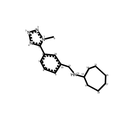 Cn1nnnc1-c1cccc(CNC2CCCCCC2)c1